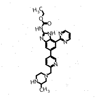 CCOC(=O)Nc1nc2cc(-c3ccc(CN4CCNC(C)C4)nc3)cc(-c3ncccn3)c2[nH]1